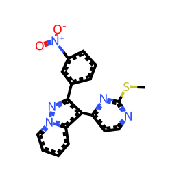 CSc1nccc(-c2c(-c3cccc([N+](=O)[O-])c3)nn3ccccc23)n1